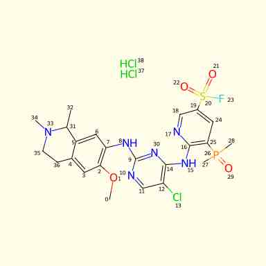 COc1cc2c(cc1Nc1ncc(Cl)c(Nc3ncc(S(=O)(=O)F)cc3P(C)(C)=O)n1)C(C)N(C)CC2.Cl.Cl